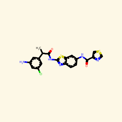 CC(C(=O)Nc1nc2ccc(NC(=O)c3cscn3)cc2s1)c1cc(N)cc(Cl)c1